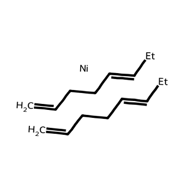 C=CCCC=CCC.C=CCCC=CCC.[Ni]